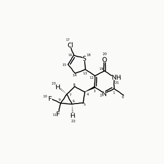 Cc1nc([C@H]2C[C@@H]3[C@H](C2)C3(F)F)c(C2CC=C(Cl)S2)c(=O)[nH]1